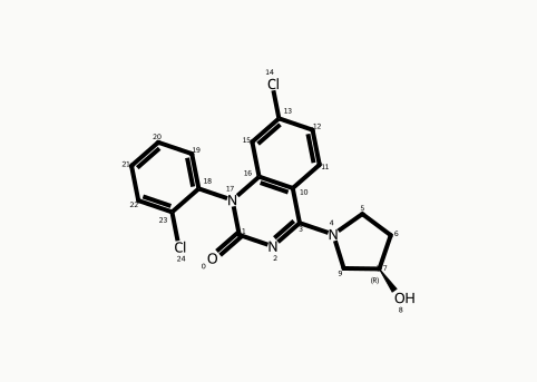 O=c1nc(N2CC[C@@H](O)C2)c2ccc(Cl)cc2n1-c1ccccc1Cl